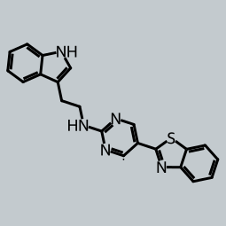 [c]1nc(NCCc2c[nH]c3ccccc23)ncc1-c1nc2ccccc2s1